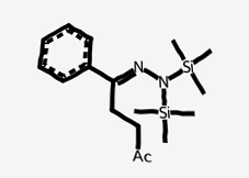 CC(=O)CCC(=NN([Si](C)(C)C)[Si](C)(C)C)c1ccccc1